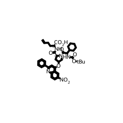 C=CCC[C@H](NC(=O)[C@@H]1CC(Oc2cc(-c3ccccc3)nc3ccc([N+](=O)[O-])cc23)CN1C(=O)[C@@H](NC(=O)OC(C)(C)C)C1CCCCC1)C(=O)O